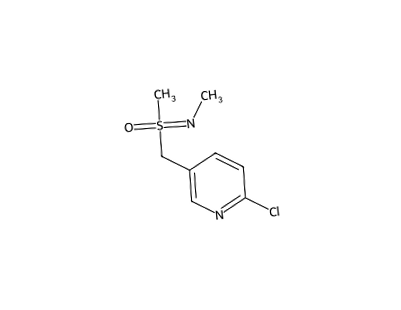 CN=S(C)(=O)Cc1ccc(Cl)nc1